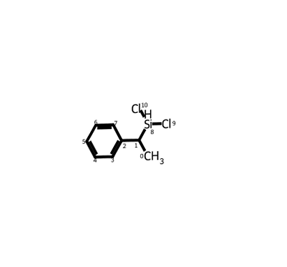 CC(c1ccccc1)[SiH](Cl)Cl